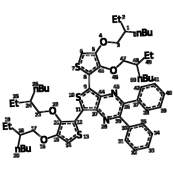 CCCCC(CC)COc1csc(-c2sc(-c3scc(OCC(CC)CCCC)c3OCC(CC)CCCC)c3nc(-c4ccccc4)c(-c4ccccc4)nc23)c1OCC(CC)CCCC